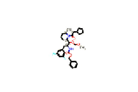 COCO[C@@H]([C@H](Cc1cc(F)cc(F)c1)NC(=O)OCc1ccccc1)[C@H]1CCC[C@H](C)N1C(=O)CC1CCCC1